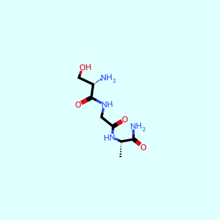 C[C@H](NC(=O)CNC(=O)[C@@H](N)CO)C(N)=O